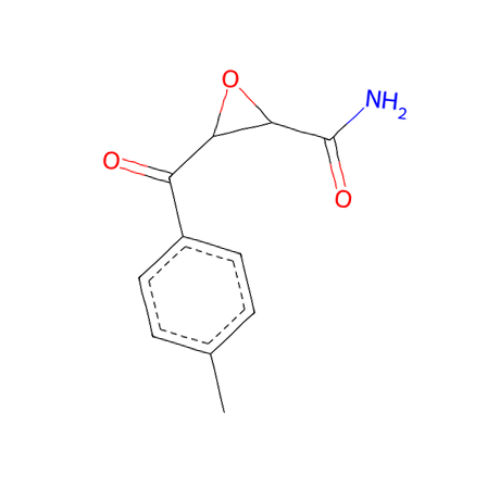 Cc1ccc(C(=O)C2OC2C(N)=O)cc1